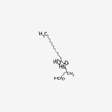 CCCCCCCCCCCCCCC(O)C(=O)NCC(C)CCCC(=O)O